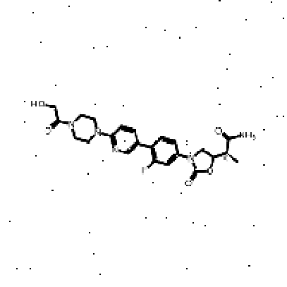 C[C@H](C(N)=O)C1CN(c2ccc(-c3ccc(N4CCN(C(=O)CO)CC4)nc3)c(F)c2)C(=O)O1